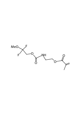 C=C(C)C(=O)OCCNC(=O)OCC(F)(F)OC